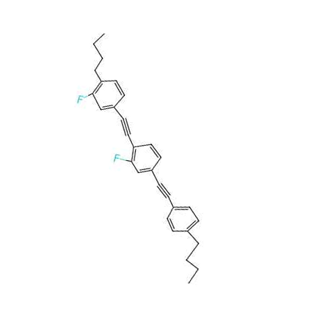 CCCCc1ccc(C#Cc2ccc(C#Cc3ccc(CCCC)c(F)c3)c(F)c2)cc1